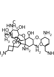 CN[C@@H]1[C@@H](O)[C@@H](O[C@]2(CCCN)[C@@H](O)[C@H](O[C@H]3OC(CN)=CC[C@H]3N)[C@@H](N)C[C@]2(N)C(=O)CC2(O)CC(N)C2)OC[C@]1(C)O